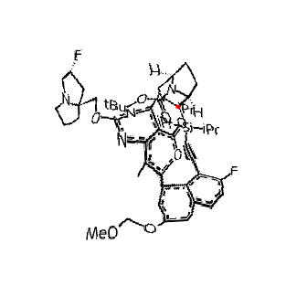 COCOc1cc(-c2oc(=O)c3c(N4C[C@H]5CC[C@@H](C4)N5C(=O)OC(C)(C)C)nc(OC[C@@]45CCCN4C[C@H](F)C5)nc3c2C)c2c(C#C[Si](C(C)C)(C(C)C)C(C)C)c(F)ccc2c1